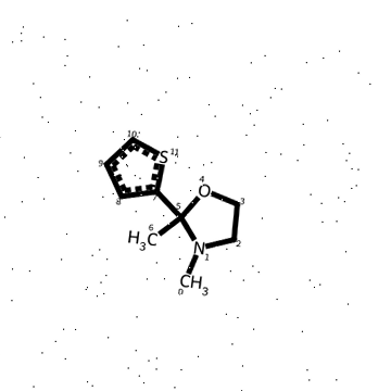 CN1CCOC1(C)c1cccs1